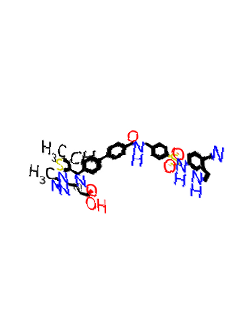 Cc1sc2c(c1C)C(c1ccc(-c3ccc(C(=O)NCc4ccc(S(=O)(=O)Nc5ccc(C#N)c6cc[nH]c56)cc4)cc3)cc1)=N[C@@H](CC(=O)O)c1nnc(C)n1-2